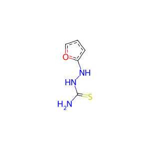 NC(=S)NNc1ccco1